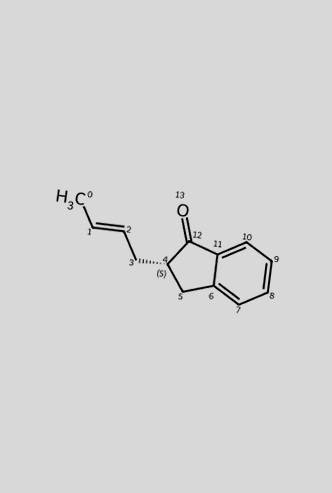 CC=CC[C@H]1Cc2ccccc2C1=O